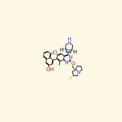 Cc1c(-c2cc(O)cc3cccc(Cl)c23)ccc2c(N3[C@@H]4CC[C@H]3CNC4)nc(OC[C@@]34CCCN3C[C@H](F)C4)nc12